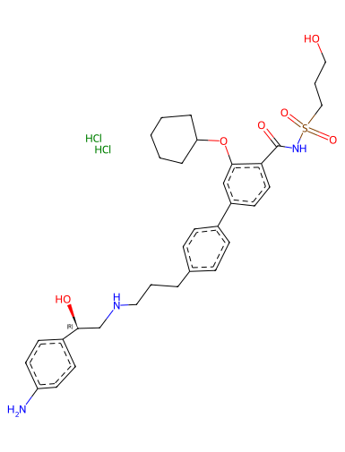 Cl.Cl.Nc1ccc([C@@H](O)CNCCCc2ccc(-c3ccc(C(=O)NS(=O)(=O)CCCO)c(OC4CCCCC4)c3)cc2)cc1